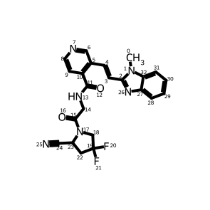 Cn1c(/C=C/c2cnccc2C(=O)NCC(=O)N2CC(F)(F)CC2C#N)nc2ccccc21